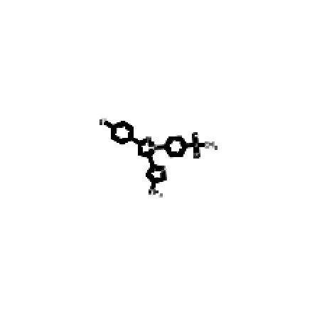 Cc1csc(-c2cc(-c3ccc(Cl)cc3)nn2-c2ccc(S(C)(=O)=O)cc2)c1